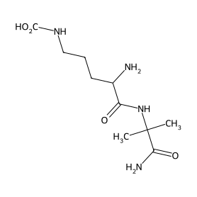 CC(C)(NC(=O)C(N)CCCNC(=O)O)C(N)=O